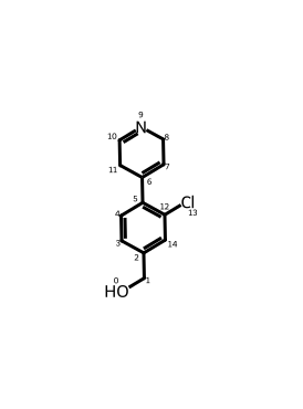 OCc1ccc(C2=CCN=CC2)c(Cl)c1